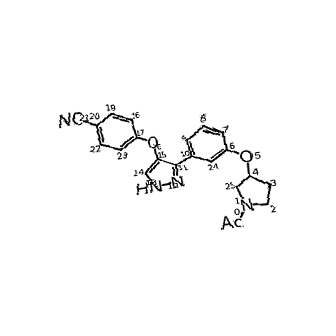 CC(=O)N1CCC(Oc2cccc(-c3n[nH]cc3Oc3ccc(C#N)cc3)c2)C1